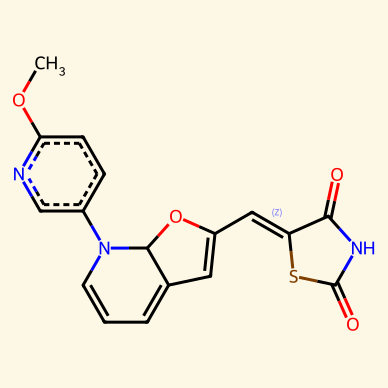 COc1ccc(N2C=CC=C3C=C(/C=C4\SC(=O)NC4=O)OC32)cn1